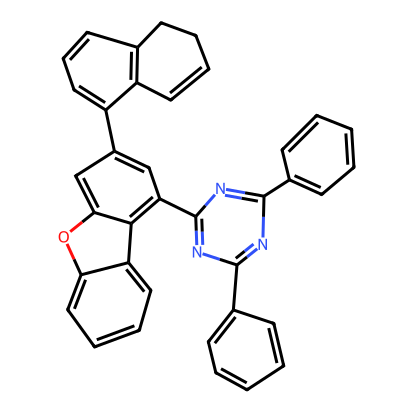 C1=Cc2c(cccc2-c2cc(-c3nc(-c4ccccc4)nc(-c4ccccc4)n3)c3c(c2)oc2ccccc23)CC1